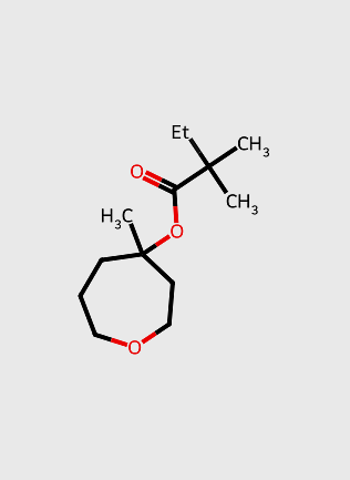 CCC(C)(C)C(=O)OC1(C)CCCOCC1